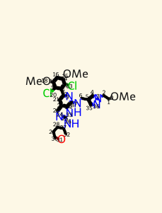 COCCn1cc(CNc2nc(-c3c(Cl)c(OC)cc(OC)c3Cl)cc3cnc(NC4CCCOC4)nc23)cn1